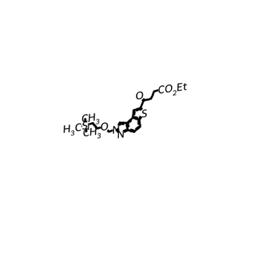 CCOC(=O)CCC(=O)c1cc2c(ccc3nn(COCC[Si](C)(C)C)cc32)s1